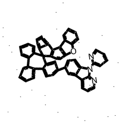 c1ccc(-n2c3ccc(-c4ccc5c(c4)C4(c6ccccc6-c6ccccc6-5)c5ccccc5-c5c4ccc4oc6ccccc6c54)cc3c3cccnc32)nc1